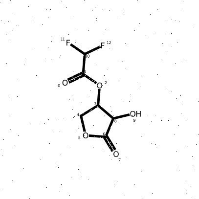 O=C(OC1COC(=O)C1O)C(F)F